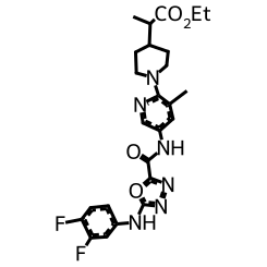 CCOC(=O)C(C)C1CCN(c2ncc(NC(=O)c3nnc(Nc4ccc(F)c(F)c4)o3)cc2C)CC1